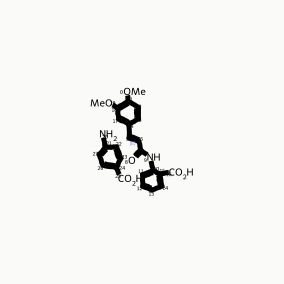 COc1ccc(/C=C/C(=O)Nc2ccccc2C(=O)O)cc1OC.Nc1ccc(C(=O)O)cc1